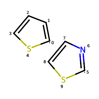 [c]1cccs1.[c]1nccs1